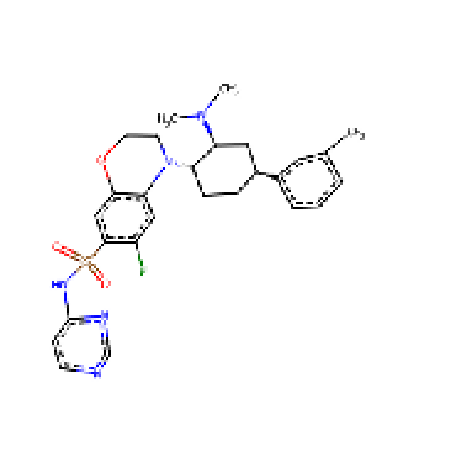 CN(C)[C@H]1C[C@@H](c2cccc(C(F)(F)F)c2)CC[C@@H]1N1CCOc2cc(S(=O)(=O)Nc3ccncn3)c(F)cc21